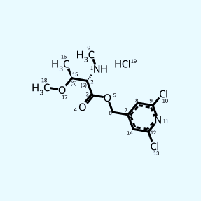 CN[C@H](C(=O)OCc1cc(Cl)nc(Cl)c1)[C@H](C)OC.Cl